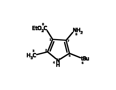 CCOC(=O)c1c(C)[nH]c(C(C)(C)C)c1N